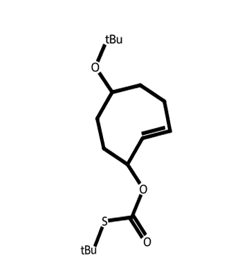 CC(C)(C)OC1CC/C=C/C(OC(=O)SC(C)(C)C)CC1